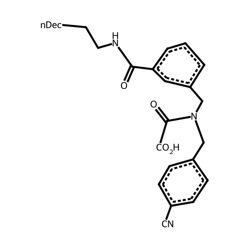 CCCCCCCCCCCCNC(=O)c1cccc(CN(Cc2ccc(C#N)cc2)C(=O)C(=O)O)c1